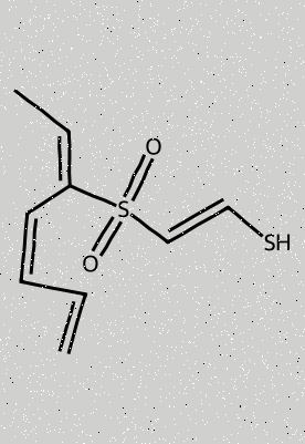 C=C/C=C\C(=C/C)S(=O)(=O)/C=C/S